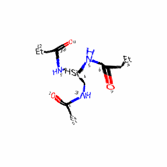 CCC(=O)N[SiH](NC(=O)CC)NC(=O)CC